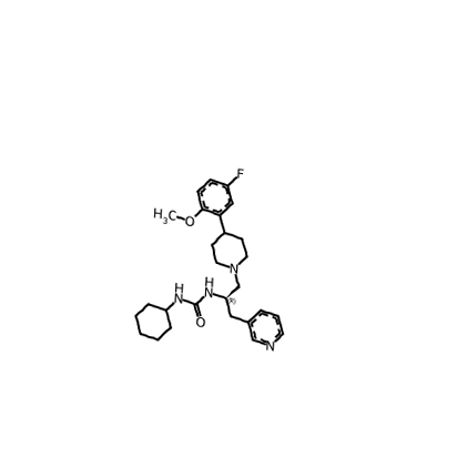 COc1ccc(F)cc1C1CCN(C[C@@H](Cc2cccnc2)NC(=O)NC2CCCCC2)CC1